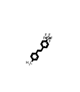 Cc1ccc(/C=C/c2ccc(S(F)(F)(F)(F)F)cc2)cc1